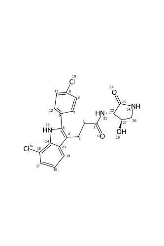 O=C(CCc1c(-c2ccc(Cl)cc2)[nH]c2c(Cl)cccc12)N[C@@H]1C(=O)NC[C@H]1O